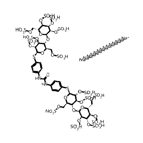 O=C(Nc1ccc(S[C@@H]2O[C@H](COS(=O)(=O)O)[C@@H](O[C@H]3O[C@H](COS(=O)(=O)O)[C@@H](OS(=O)(=O)O)[C@H](OS(=O)(=O)O)[C@H]3OS(=O)(=O)O)[C@H](OS(=O)(=O)O)[C@H]2OS(=O)(=O)O)cc1)Nc1ccc(S[C@@H]2O[C@H](COS(=O)(=O)O)[C@@H](O[C@H]3O[C@H](COS(=O)(=O)O)[C@@H](OS(=O)(=O)O)[C@H](OS(=O)(=O)O)[C@H]3OS(=O)(=O)O)[C@H](OS(=O)(=O)O)[C@H]2OS(=O)(=O)O)cc1.[Na+].[Na+].[Na+].[Na+].[Na+].[Na+].[Na+].[Na+].[Na+].[Na+].[Na+].[Na+].[Na+].[Na+]